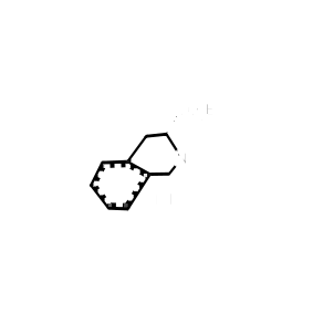 CCOC(=O)[C@H]1Cc2ccccc2CN1.Cl